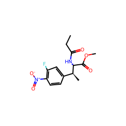 CCC(=O)N[C@@H](C(=O)OC)[C@@H](C)c1ccc([N+](=O)[O-])c(F)c1